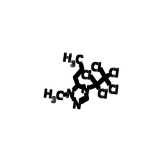 CCCC1N(C)N=CN1C(Cl)(Cl)C(Cl)(Cl)Cl